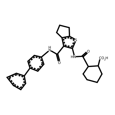 O=C(Nc1ccc(-c2ccccc2)cc1)c1c(NC(=O)C2CCCCC2C(=O)O)sc2c1CCC2